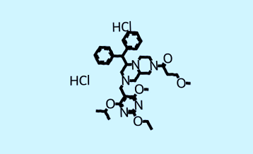 CCOc1nc(OC)c(CN2CC3CN(C(=O)CCOC)CCN3C(C(c3ccccc3)c3ccccc3)C2)c(OC(C)C)n1.Cl.Cl